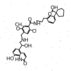 COc1cc(C(=O)NCCCc2cccc(C3(C(=O)O)CCCCC3)c2)c(Cl)cc1CNCC(O)c1ccc(O)c2[nH]c(=O)ccc12